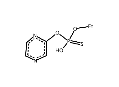 CCOP(O)(=S)Oc1cnccn1